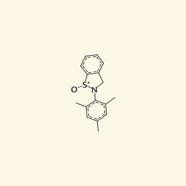 Cc1cc(C)c(N2Cc3ccccc3[S+]2[O-])c(C)c1